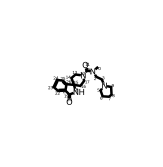 CN(CCN1CCCCC1)C(=O)N1CCC2(CC1)NC(=O)c1ccccc12